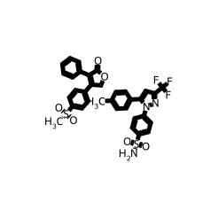 CS(=O)(=O)c1ccc(C2=C(c3ccccc3)C(=O)OC2)cc1.Cc1ccc(-c2cc(C(F)(F)F)nn2-c2ccc(S(N)(=O)=O)cc2)cc1